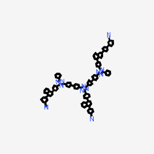 N#Cc1ccc(-c2ccc(-c3ccc(-c4nc(-c5ccc(-c6ccc(-c7nc(-c8ccccc8)nc(-c8ccc(-c9cccc%10cc(-c%11ccc(-c%12cccc(C#N)c%12)cc%11)ccc9%10)cc8)n7)cc6)cc5)nc(-c5ccc(-c6ccc(-c7nc(-c8ccccc8)nc(-c8ccc(-c9ccc(-c%10cccc(C#N)c%10)c%10ccccc9%10)cc8)n7)cc6)cc5)n4)cc3)c3ccccc23)cc1